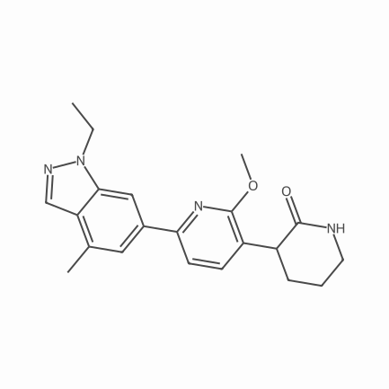 CCn1ncc2c(C)cc(-c3ccc(C4CCCNC4=O)c(OC)n3)cc21